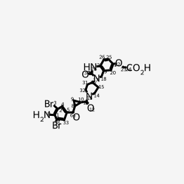 Nc1c(Br)cc(C(=O)C2CC2C(=O)N2CCC(N3Cc4cc(OCC(=O)O)ccc4NC3=O)CC2)cc1Br